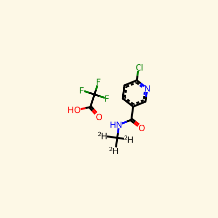 O=C(O)C(F)(F)F.[2H]C([2H])([2H])NC(=O)c1ccc(Cl)nc1